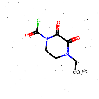 CCOC(=O)CN1CCN(C(=O)Cl)C(=O)C1=O